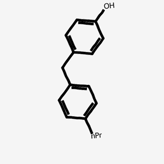 CCCc1ccc(Cc2ccc(O)cc2)cc1